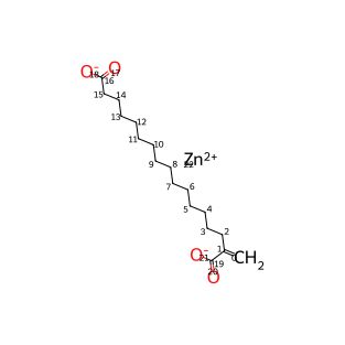 C=C(CCCCCCCCCCCCCCC(=O)[O-])C(=O)[O-].[Zn+2]